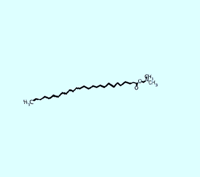 CCCCCCCCCCCCCCCCCC=CCCCCCCCC(=O)OCN(C)C